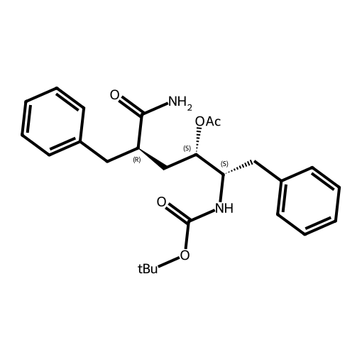 CC(=O)O[C@@H](C[C@@H](Cc1ccccc1)C(N)=O)[C@H](Cc1ccccc1)NC(=O)OC(C)(C)C